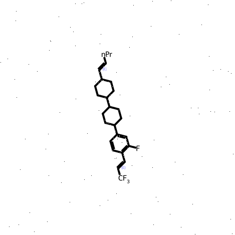 CCC/C=C/C1CCC(C2CCC(c3ccc(/C=C/C(F)(F)F)c(F)c3)CC2)CC1